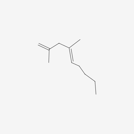 C=C(C)CC(C)=CCCCC